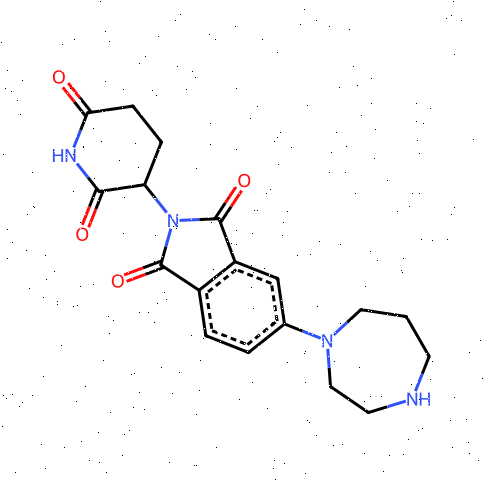 O=C1CCC(N2C(=O)c3ccc(N4CCCNCC4)cc3C2=O)C(=O)N1